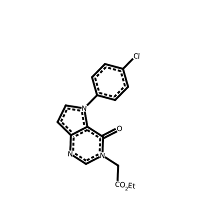 CCOC(=O)Cn1cnc2ccn(-c3ccc(Cl)cc3)c2c1=O